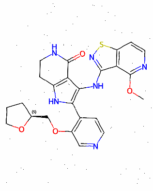 COc1nccc2snc(Nc3c(-c4ccncc4OC[C@@H]4CCCO4)[nH]c4c3C(=O)NCC4)c12